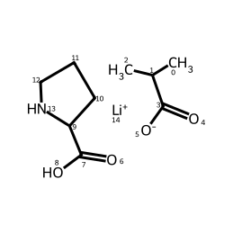 CC(C)C(=O)[O-].O=C(O)C1CCCN1.[Li+]